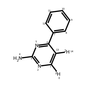 [2H]c1nc(N)nc(-c2ccccc2)c1[2H]